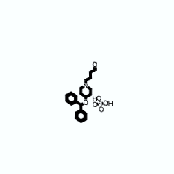 O=CCCCN1CCC(OC(c2ccccc2)c2ccccc2)CC1.O=S(=O)(O)O